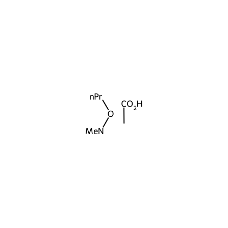 CC(=O)O.CCCONC